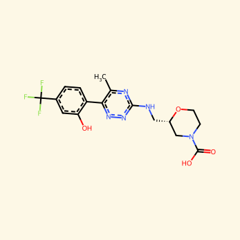 Cc1nc(NC[C@H]2CN(C(=O)O)CCO2)nnc1-c1ccc(C(F)(F)F)cc1O